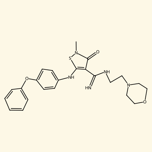 Cn1sc(Nc2ccc(Oc3ccccc3)cc2)c(C(=N)NCCN2CCOCC2)c1=O